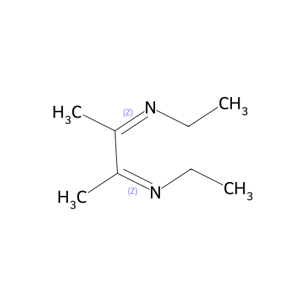 CC/N=C(C)\C(C)=N/CC